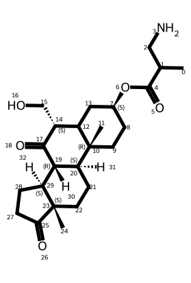 CC(CN)C(=O)O[C@H]1CC[C@@]2(C)C(C1)[C@@H](CO)C(=O)[C@@H]1[C@@H]2CC[C@]2(C)C(=O)CC[C@@H]12